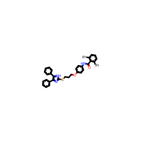 CC(C)c1cccc(C(C)C)c1C(=O)Nc1ccc(OCCCSc2nc(-c3ccccc3)c(-c3ccccc3)[nH]2)cc1